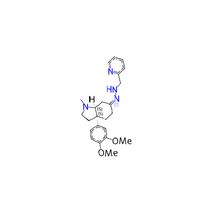 COc1ccc([C@@]23CC/C(=N/NCc4ccccn4)C[C@@H]2N(C)CC3)cc1OC